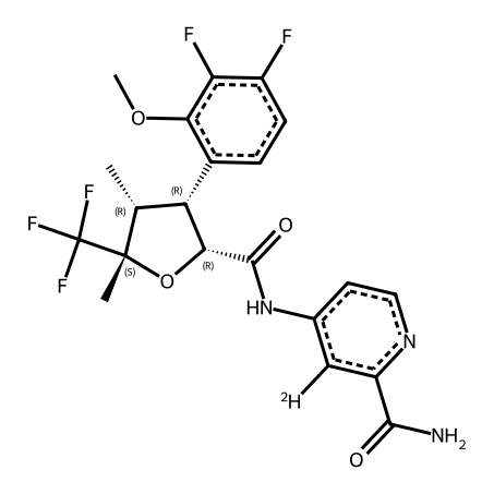 [2H]c1c(NC(=O)[C@@H]2O[C@](C)(C(F)(F)F)[C@H](C)[C@@H]2c2ccc(F)c(F)c2OC)ccnc1C(N)=O